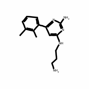 Cc1cccc(-c2cc(NCCCN)nc(N)n2)c1C